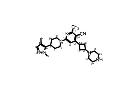 Cc1cnn(C)c1C1CCN(c2cc(C3CC(N4CCNCC4)C3)c(C#N)c(C(F)(F)F)n2)CC1